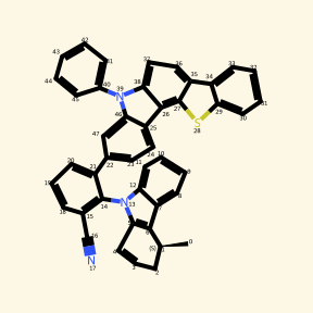 C[C@H]1CC=Cc2c1c1ccccc1n2-c1c(C#N)cccc1-c1ccc2c3c4sc5ccccc5c4ccc3n(-c3ccccc3)c2c1